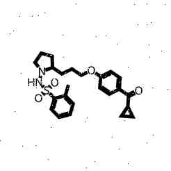 Cc1ccccc1S(=O)(=O)NN1CCCC1CCCOc1ccc(C(=O)C2CC2)cc1